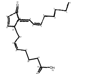 CCCCC/C=C\C=C1\C(=O)C=CC1C/C=C\CCCC(=O)O